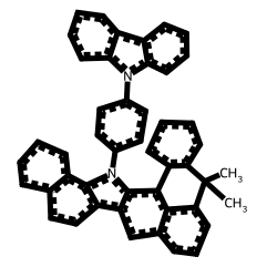 CC1(C)c2ccccc2-c2c3c1cccc3cc1c3ccc4ccccc4c3n(-c3ccc(-n4c5ccccc5c5ccccc54)cc3)c21